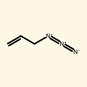 C=CC[N+]=[N+]=[N-]